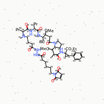 CCOC(=O)[C@]1(NC(=O)C(C)C(OC)[C@@H]2CCCN2C(=O)CC(OC)C(C(C)CC)N(C)C(=O)C(NC(=O)C(C(C)C)N(C)CCCC(=O)NNC(=O)CCCCCN2C(=O)C=CC2=O)C(C)C)C[C@@H]1c1ccccc1